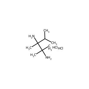 CC(C)C(C)(N)C(C)(C)N.Cl.Cl